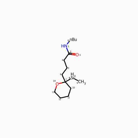 CCCCNC(=O)CCCC1([SiH2]C)CCCCO1